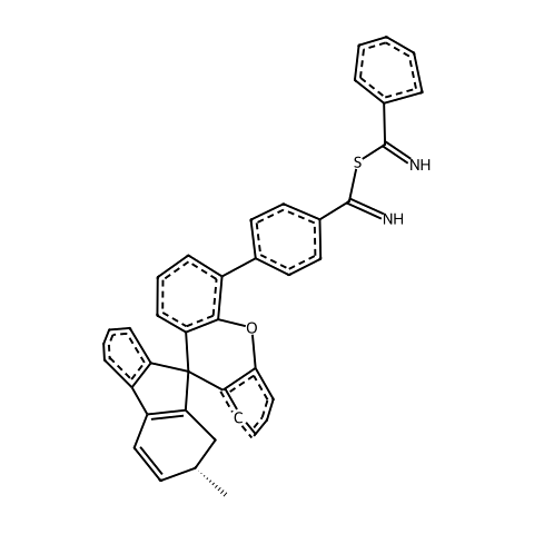 C[C@@H]1C=CC2=C(C1)C1(c3ccccc3Oc3c(-c4ccc(C(=N)SC(=N)c5ccccc5)cc4)cccc31)c1ccccc12